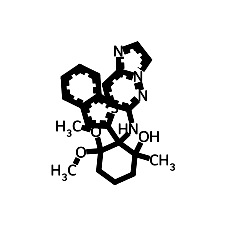 COC1(OC)CCCC(C)(O)C1(Nc1ccc2nccn2n1)c1cc2ccccc2s1